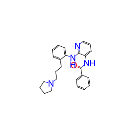 O=C(Nc1cccnc1Nc1ccccc1CCCN1CCCC1)c1ccccc1